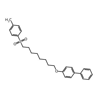 Cc1ccc(S(=O)(=O)CCCCCCCCOc2ccc(-c3ccccc3)cc2)cc1